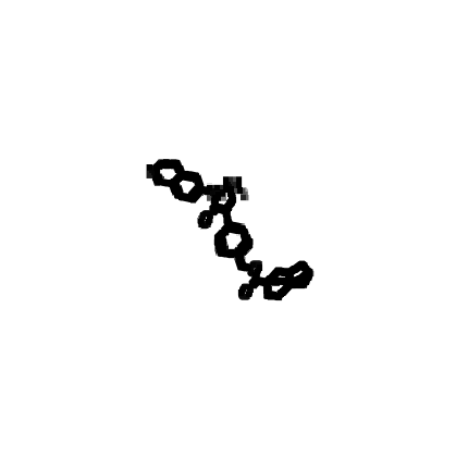 NCC(C(=O)Nc1ccc2cnccc2c1)c1ccc(COC(=O)C23CCC4CC(CC4C2)C3)cc1